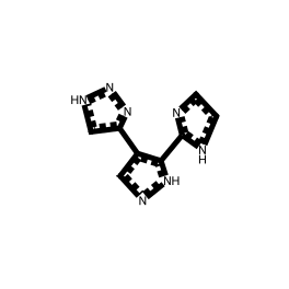 [c]1n[nH]c(-c2ncc[nH]2)c1-c1c[nH]nn1